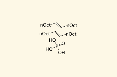 CCCCCCCCC=CCCCCCCCC.CCCCCCCCC=CCCCCCCCC.O=P(O)(O)O